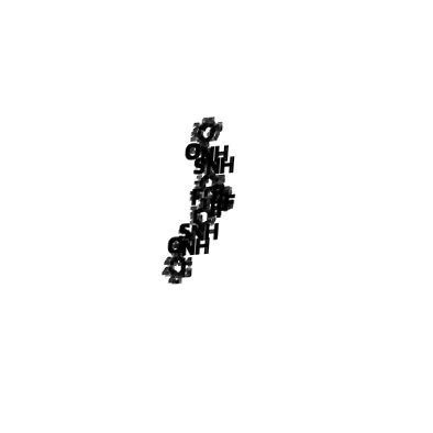 O=C(NC(=S)Nc1ccc(C(F)(c2ccc(NC(=S)NC(=O)c3ccccc3)cc2)C(F)(F)C(F)(F)F)cc1)c1ccccc1